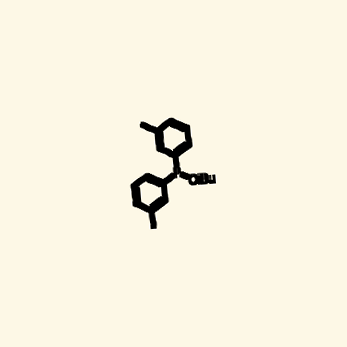 Cc1cccc(P(OCC(C)C)c2cccc(C)c2)c1